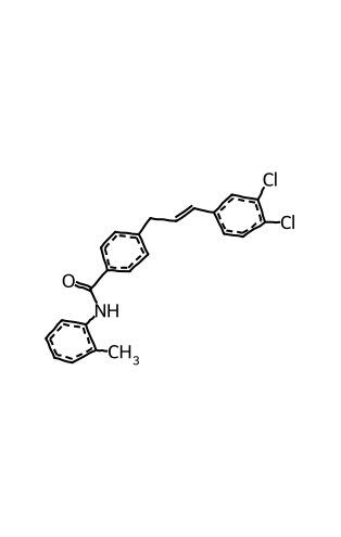 Cc1ccccc1NC(=O)c1ccc(CC=Cc2ccc(Cl)c(Cl)c2)cc1